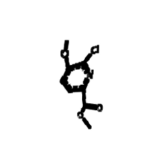 COC(=O)c1ccc(OC)c(Cl)n1